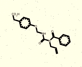 C=CCN(C(=O)NCOc1ccc(CC(=O)O)cc1)C(=O)c1ccccc1